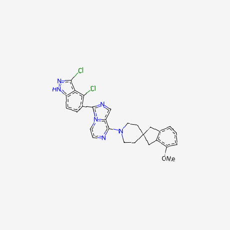 COc1cccc2c1CC1(CCN(c3nccn4c(-c5ccc6[nH]nc(Cl)c6c5Cl)ncc34)CC1)C2